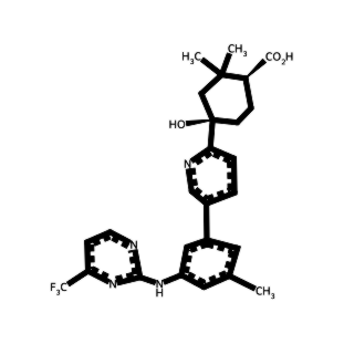 Cc1cc(Nc2nccc(C(F)(F)F)n2)cc(-c2ccc([C@@]3(O)CC[C@H](C(=O)O)C(C)(C)C3)nc2)c1